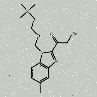 Cc1ccc2c(c1)nc(C(=O)CC(C)C)n2COCC[Si](C)(C)C